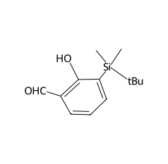 CC(C)(C)[Si](C)(C)c1cccc(C=O)c1O